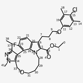 CCOC(=O)c1c(CCCOc2cc(C)c(Cl)c(C)c2)c2ccc(F)c3c2n1CCCCOCc1c-3c(CC)nn1C